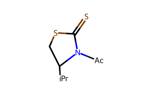 CC(=O)N1C(=S)SCC1C(C)C